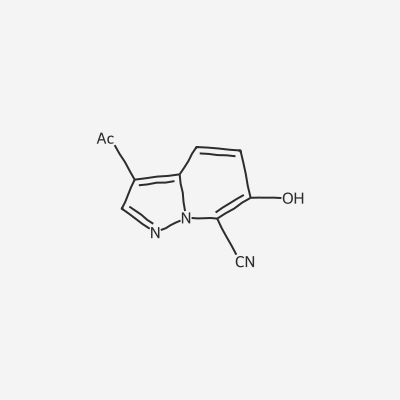 CC(=O)c1cnn2c(C#N)c(O)ccc12